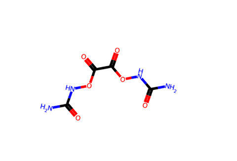 NC(=O)NOC(=O)C(=O)ONC(N)=O